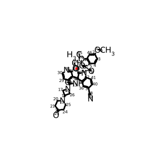 COc1ccc(S(=O)(=O)N2C(=O)[C@@](NC(=O)N3CC(N4CCC(=O)CC4)C3)(c3cccnc3OC)c3cc(C#N)ccc32)c(OC)c1